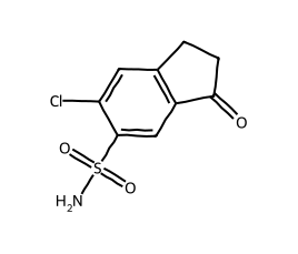 NS(=O)(=O)c1cc2c(cc1Cl)CCC2=O